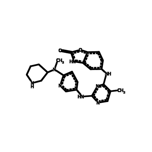 Cc1cnc(Nc2ccc(N(C)C3CCCNC3)nc2)nc1Nc1ccc2oc(=O)[nH]c2c1